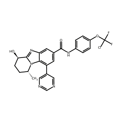 C[C@@H]1CC[C@@H](O)c2nc3cc(C(=O)Nc4ccc(OC(F)(F)Cl)cc4)cc(-c4cncnc4)c3n21